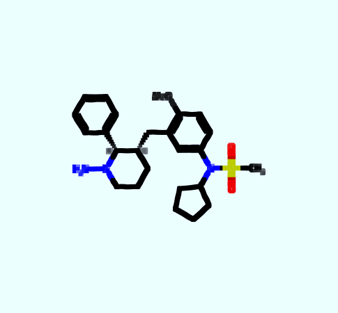 COc1ccc(N(C2CCCC2)S(C)(=O)=O)cc1C[C@@H]1CCCN(N)[C@@H]1c1ccccc1